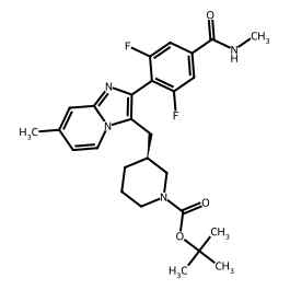 CNC(=O)c1cc(F)c(-c2nc3cc(C)ccn3c2C[C@@H]2CCCN(C(=O)OC(C)(C)C)C2)c(F)c1